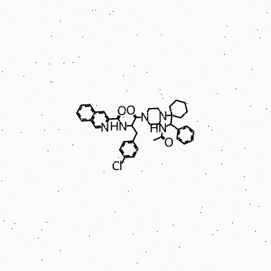 CC(=O)NC(c1ccccc1)C1(N2CCN(C(=O)C(Cc3ccc(Cl)cc3)NC(=O)c3cc4ccccc4cn3)CC2)CCCCC1